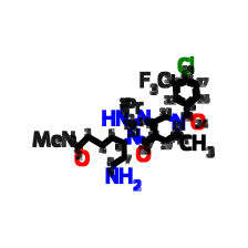 CNC(=O)CCCC(CCN)n1c(NC(C)C)nc2c(c1=O)C[C@@H](C)N(C(=O)c1ccc(Cl)c(C(F)(F)F)c1)C2